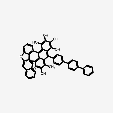 Cc1c(O)c(O)c(O)c2c(-c3cccc4oc5cc6ccccc6cc5c34)c3c(O)c(O)c(O)c(O)c3c(-c3ccc(-c4ccc(-c5ccccc5)cc4)cc3)c12